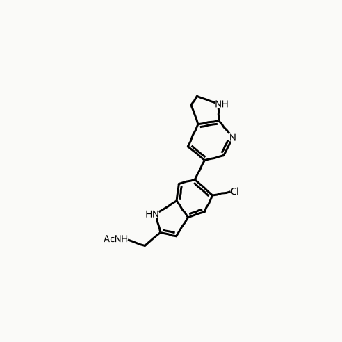 CC(=O)NCc1cc2cc(Cl)c(-c3cnc4c(c3)CCN4)cc2[nH]1